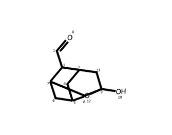 O=CC1C2CC3CC1CC(O)(C2)O3